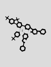 CC(C)(C)c1ccc(N2B3c4cc5cc(-c6ccccc6)sc5cc4-n4c5cc6oc7ccccc7c6cc5c5ccc(c3c54)-c3cc4c(cc32)-c2ccc(C(C)(C)C)cc2C4(C)C)cc1